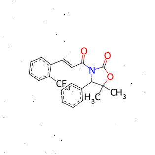 CC1(C)OC(=O)N(C(=O)C=Cc2ccccc2C(F)(F)F)C1c1ccccc1